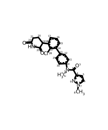 CN(C(=O)c1ccn(C)n1)c1ccc(-c2cccc(C3CCC(=O)NC3=O)c2Cl)cc1